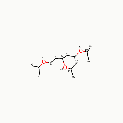 CC(C)OCCC(CCOC(C)C)OC(C)C